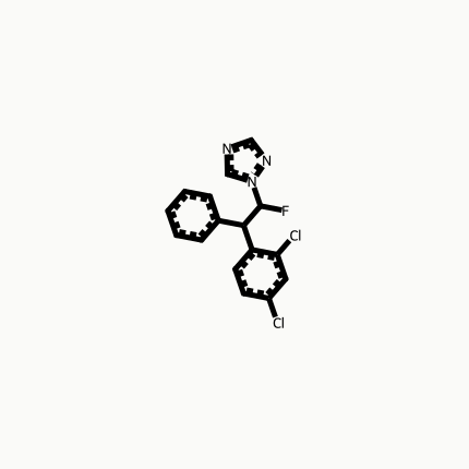 FC(C(c1ccccc1)c1ccc(Cl)cc1Cl)n1cncn1